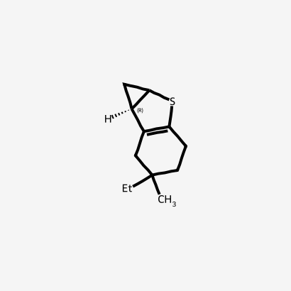 CCC1(C)CCC2=C(C1)[C@H]1CC1S2